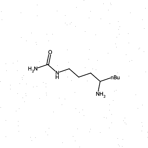 CCCCC(N)CCCNC(N)=O